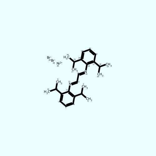 CC(C)c1cccc(C(C)C)c1N=CC=Nc1c(C(C)C)cccc1C(C)C.[Br-].[Br-].[Ni+2]